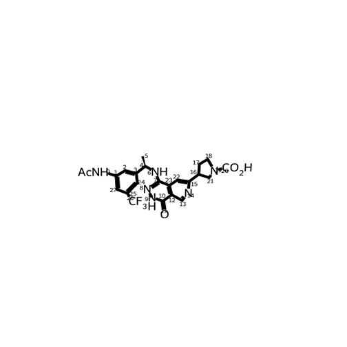 CC(=O)Nc1cc([C@@H](C)Nc2n[nH]c(=O)c3cnc(C4CCN(C(=O)O)C4)cc23)cc(C(F)(F)F)c1